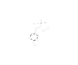 CCCC1(C)CCCCN1Cc1cnc(OC)nc1